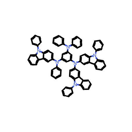 c1ccc(N(c2ccccc2)c2cc(N(c3ccccc3)c3ccc4c(c3)c3ccccc3n4-c3ccccc3)cc(N(c3ccc4c(c3)c3ccccc3n4-c3ccccc3)c3ccc4c(c3)c3ccccc3n4-c3ccccc3)c2)cc1